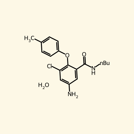 CCCCNC(=O)c1cc(N)cc(Cl)c1Oc1ccc(C)cc1.O